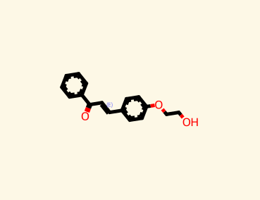 O=C(/C=C/c1ccc(OCCO)cc1)c1ccccc1